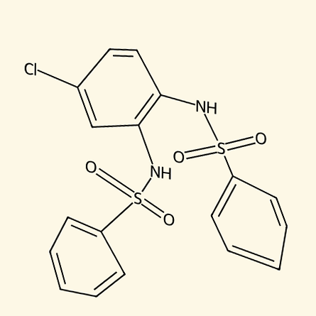 O=S(=O)(Nc1ccc(Cl)cc1NS(=O)(=O)c1ccccc1)c1ccccc1